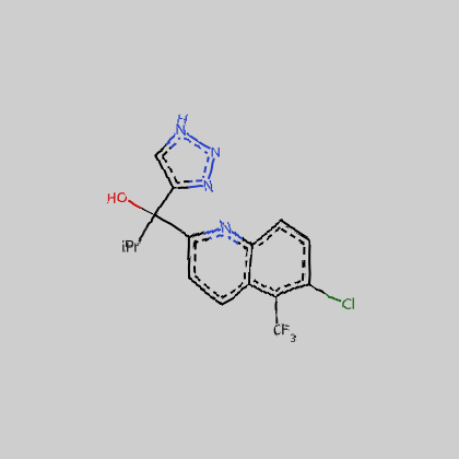 CC(C)C(O)(c1c[nH]nn1)c1ccc2c(C(F)(F)F)c(Cl)ccc2n1